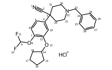 Cl.N#CC1(c2ccc(OC(F)F)c(OC3CCCC3)c2)CCN(Cc2ccccc2)CC1